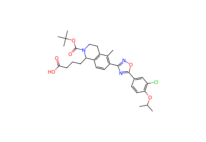 Cc1c(-c2noc(-c3ccc(OC(C)C)c(Cl)c3)n2)ccc2c1CCN(C(=O)OC(C)(C)C)C2CCCC(=O)O